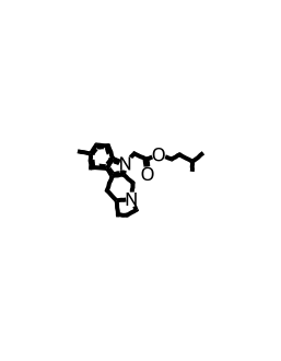 Cc1ccc2c(c1)c1c(n2CC(=O)OCCC(C)C)CN2CCCC2C1